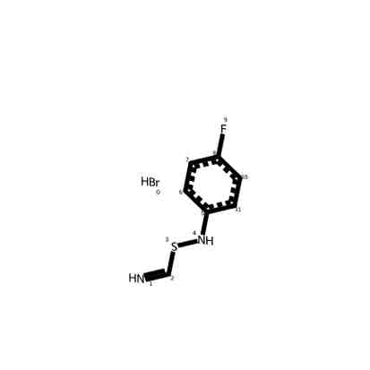 Br.N=CSNc1ccc(F)cc1